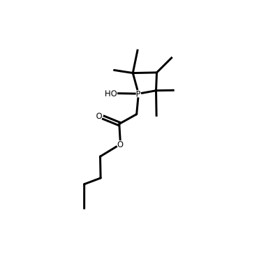 CCCCOC(=O)C[P]1(O)C(C)(C)C(C)C1(C)C